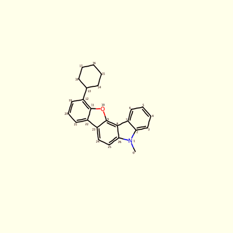 Cn1c2ccccc2c2c3oc4c(C5CCCCC5)cccc4c3ccc21